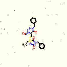 CCS(NC=O)(SCC(NC=O)C(=O)NCc1ccccc1)C(=O)NCc1ccccc1